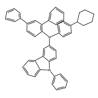 c1ccc(-c2ccc(N(c3ccc(C4CCCCC4)cc3)c3ccc4c(c3)c3ccccc3n4-c3ccccc3)c(-c3ccccc3)c2)cc1